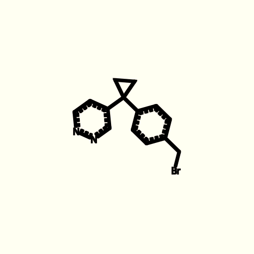 BrCc1ccc(C2(c3ccnnc3)CC2)cc1